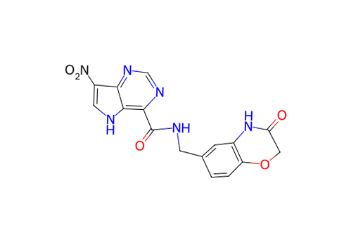 O=C1COc2ccc(CNC(=O)c3ncnc4c([N+](=O)[O-])c[nH]c34)cc2N1